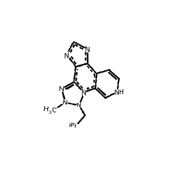 CC(C)CN1N(C)N=c2c3ncnc-3c3c(n21)=CNC=C3